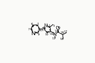 Cc1nn(-c2cccnc2)cc1N(C)C(=O)C(C)C